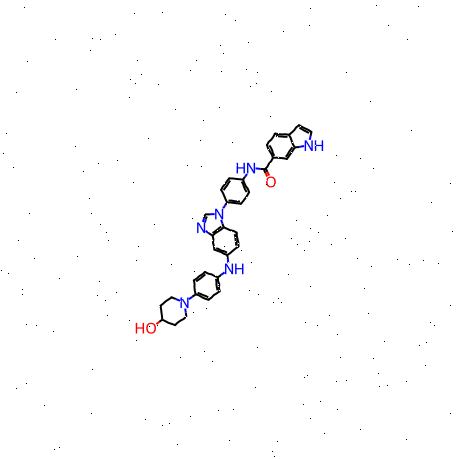 O=C(Nc1ccc(-n2cnc3cc(Nc4ccc(N5CCC(O)CC5)cc4)ccc32)cc1)c1ccc2cc[nH]c2c1